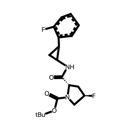 CC(C)(C)OC(=O)N1C[C@H](F)C[C@H]1C(=O)NC1CC1c1ccccc1F